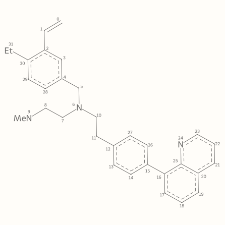 C=Cc1cc(CN(CCNC)CCc2ccc(-c3cccc4cccnc34)cc2)ccc1CC